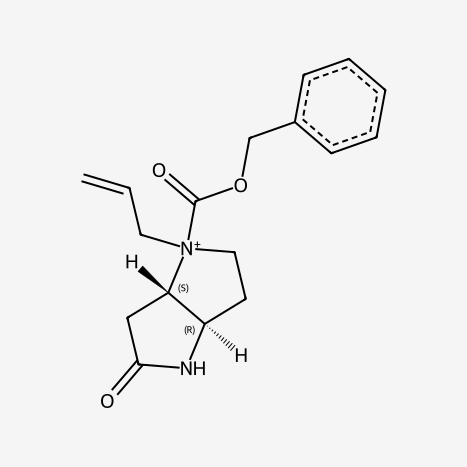 C=CC[N+]1(C(=O)OCc2ccccc2)CC[C@H]2NC(=O)C[C@@H]21